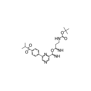 CC(C)S(=O)(=O)c1ccc(-c2cncc(C(=N)OC(=N)CCNC(=O)OC(C)(C)C)n2)cc1